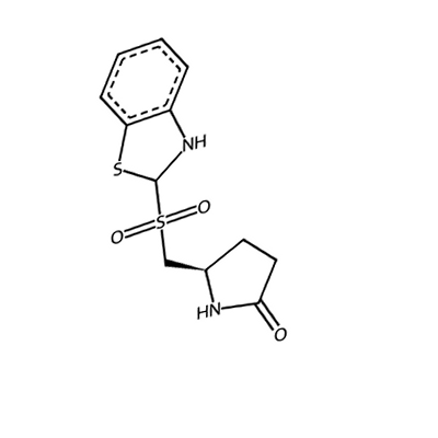 O=C1CC[C@H](CS(=O)(=O)C2Nc3ccccc3S2)N1